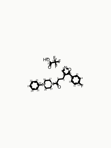 O=C(CCc1cnoc1-c1ccc(F)cc1)N1CCN(c2ccccc2)CC1.O=C(O)C(F)(F)F